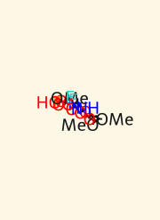 COc1cc(OC)c2oc(COC(=O)Nc3ccn(C4OC(COP(=O)(O)OC)CC4(F)F)c(=O)n3)cc2c1